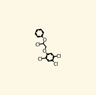 Clc1cc(Cl)c(OCC(Cl)Oc2ccccc2)cc1Cl